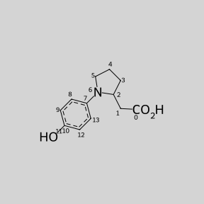 O=C(O)CC1CCCN1c1ccc(O)cc1